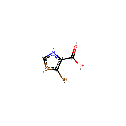 O=C(O)c1ncsc1S